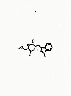 CSCC1NC(=O)C(Cc2cn(C)c3ccccc23)NC1=O